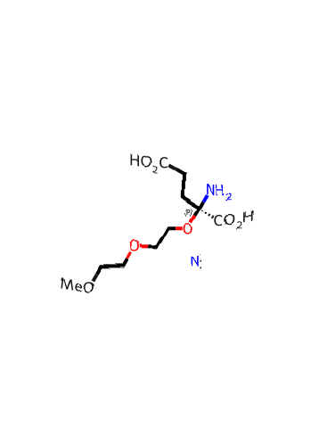 COCCOCCO[C@](N)(CCC(=O)O)C(=O)O.[N]